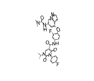 CC(C)n1cc(C(=O)Nc2ccc(Oc3cc(NC(=O)N(C)C)cn4nccc34)c(F)c2)c(=O)n(-c2ccc(F)cc2)c1=O